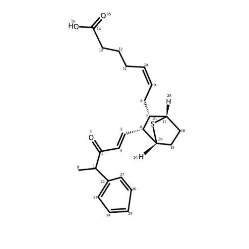 CC(C(=O)/C=C/[C@@H]1[C@H](C/C=C\CCCC(=O)O)[C@@H]2CC[C@H]1S2)c1ccccc1